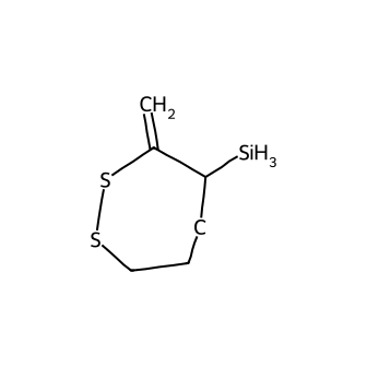 C=C1SSCCCC1[SiH3]